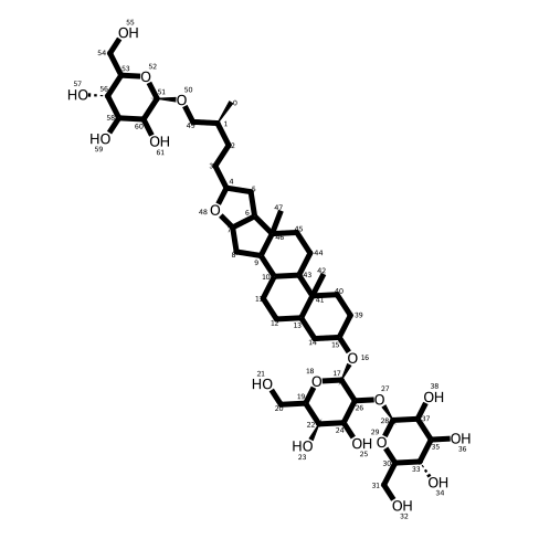 C[C@@H](CCC1CC2C(CC3C4CCC5CC(O[C@@H]6OC(CO)[C@H](O)C(O)C6O[C@@H]6OC(CO)[C@@H](O)C(O)C6O)CCC5(C)C4CCC23C)O1)CO[C@@H]1OC(CO)[C@@H](O)C(O)C1O